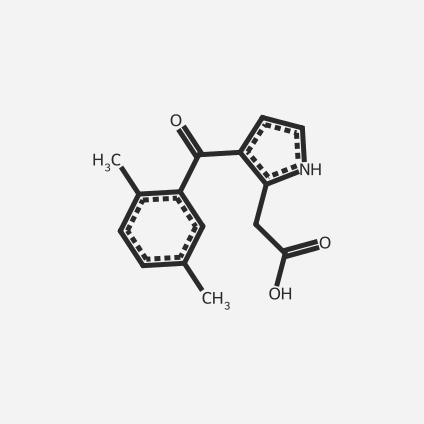 Cc1ccc(C)c(C(=O)c2cc[nH]c2CC(=O)O)c1